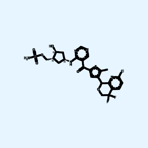 Cc1sc(C(=O)c2cncnc2N[C@@H]2C[C@H](COS(N)(=O)=O)[C@@H](O)C2)cc1C1OCC(F)(F)c2ccc(Cl)nc21